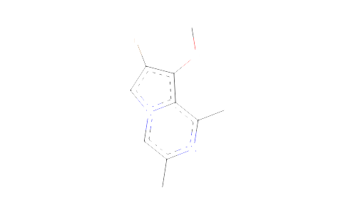 COc1c(Br)cn2cc(C)nc(C)c12